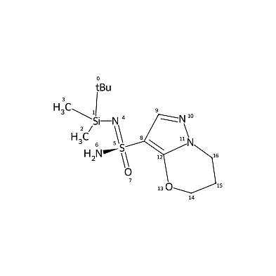 CC(C)(C)[Si](C)(C)N=[S@@](N)(=O)c1cnn2c1OCCC2